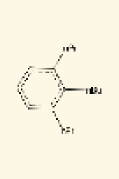 [CH2]CCCc1c(CCC)cccc1CCC